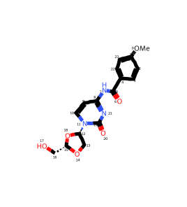 COc1ccc(C(=O)Nc2ccn([C@@H]3CO[C@H](CO)O3)c(=O)n2)cc1